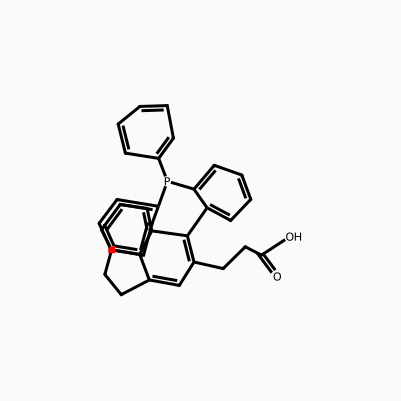 O=C(O)CCc1cc2c3c(cccc3c1-c1ccccc1P(c1ccccc1)c1ccccc1)CC2